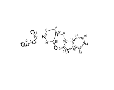 CC(C)(C)OC(=O)N1CCN(Cc2csc3ccccc23)C(=O)C1